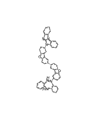 c1ccc2c(c1)nc1n(-c3ccc4oc5ccc(-c6ccc7oc8ccc(-n9[nH]c%10ccccc%10[nH]c%10ccccc%109)cc8c7c6)cc5c4c3)c3ccccc3n21